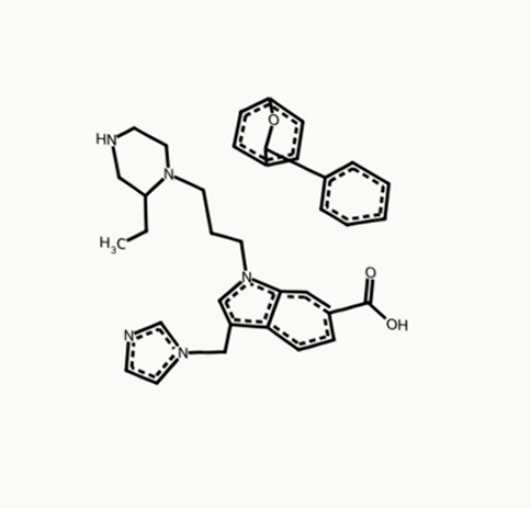 CCC1CNCCN1CCCn1cc(Cn2ccnc2)c2ccc(C(=O)O)cc21.c1ccc(C2Oc3ccc2cc3)cc1